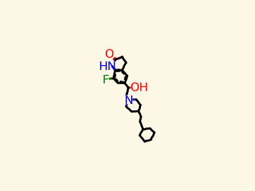 O=C1CCc2cc(C(O)CN3CCC(CCC4CCCCC4)CC3)cc(F)c2N1